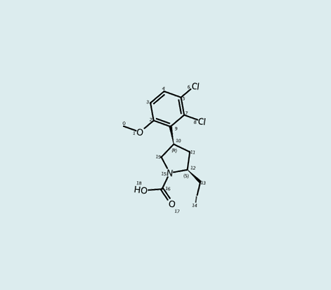 COc1ccc(Cl)c(Cl)c1[C@H]1C[C@@H](CI)N(C(=O)O)C1